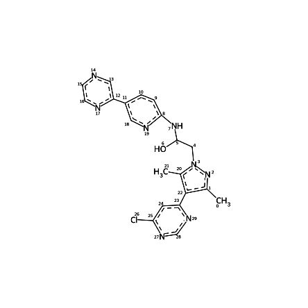 Cc1nn(CC(O)Nc2ccc(-c3cnccn3)cn2)c(C)c1-c1cc(Cl)ncn1